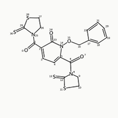 O=C(c1ccc(C(=O)N2CCSC2=S)n(OCc2ccccc2)c1=O)N1CCSC1=S